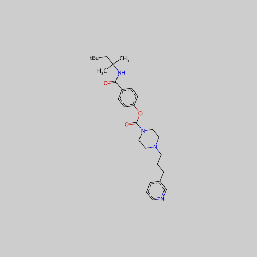 CC(C)(C)CC(C)(C)NC(=O)c1ccc(OC(=O)N2CCN(CCCc3cccnc3)CC2)cc1